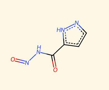 O=NNC(=O)c1ccn[nH]1